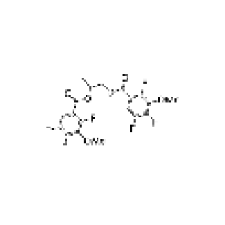 COc1c(F)c(F)cc(C(=O)OCC(C)OC(=O)c2cc(F)c(F)c(OC)c2F)c1F